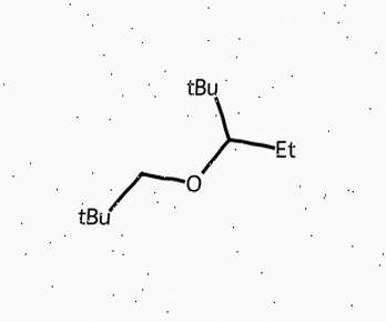 [CH2]CC(OCC(C)(C)C)C(C)(C)C